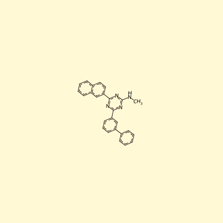 CNc1nc(-c2cccc(-c3ccccc3)c2)nc(-c2ccc3ccccc3c2)n1